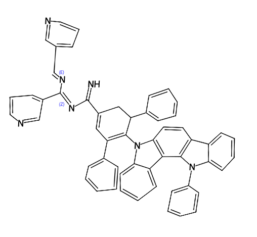 N=C(/N=C(\N=C\c1cccnc1)c1cccnc1)C1=CC(c2ccccc2)=C(n2c3ccccc3c3c2ccc2c4ccccc4n(-c4ccccc4)c23)C(c2ccccc2)C1